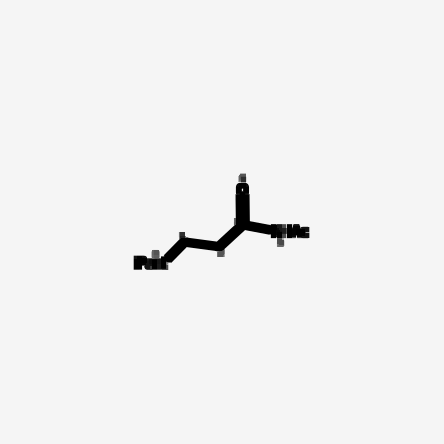 CCCC(C)CCC(=O)NC(C)=O